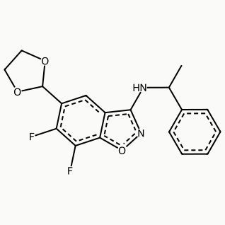 CC(Nc1noc2c(F)c(F)c(C3OCCO3)cc12)c1ccccc1